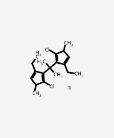 CCC1=CC(C)C(Cl)=C1C(C)(C)C1=C(Cl)C(C)C=C1CC.[Ti]